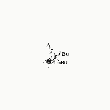 CCCCP(=C=O)(CCCC)CCCC.[CoH]